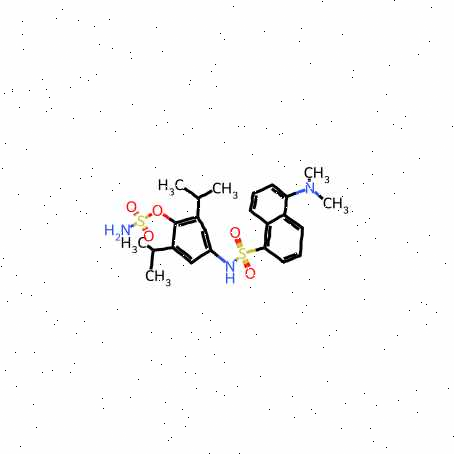 CC(C)c1cc(NS(=O)(=O)c2cccc3c(N(C)C)cccc23)cc(C(C)C)c1OS(N)(=O)=O